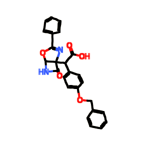 O=C(O)C(c1ccc(OCc2ccccc2)cc1)C12N=C(c3ccccc3)OC1NC2=O